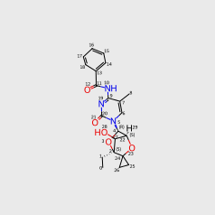 CC[C@@]12O[C@@H](n3cc(C)c(NC(=O)c4ccccc4)nc3=O)[C@@H](OC13CC3)C2O